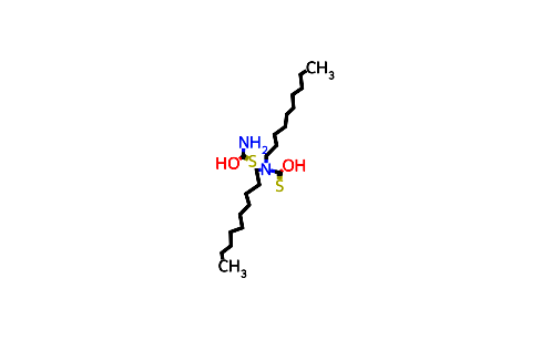 CCCCCCCCCCN(CCCCCCCCCC)C(O)=S.NC(O)=S